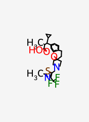 Cc1nc(C(F)(F)F)c(CN2CCC3(CCc4ccc(C(C5CC5)[C@H](C)C(=O)O)cc4O3)CC2)s1